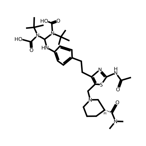 CC(=O)Nc1nc(CCc2ccc(NC(N(C(=O)O)C(C)(C)C)N(C(=O)O)C(C)(C)C)cc2)c(CN2CCC[C@@H](C(=O)N(C)C)C2)s1